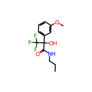 CCCNC(=O)C(O)(c1cccc(OC)c1)C(F)(F)F